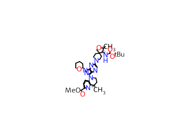 COC(=O)c1ccc2c(n1)[C@H](C)CCN2c1nn(C2CCCCO2)c2nc(N3CCC4(CC3)CO[C@@H](C)[C@H]4NC(=O)OC(C)(C)C)cnc12